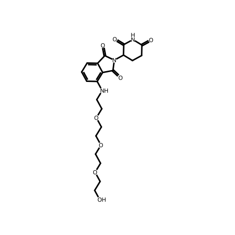 O=C1CCC(N2C(=O)c3cccc(NCCOCCOCCOCCO)c3C2=O)C(=O)N1